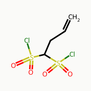 C=CCC(S(=O)(=O)Cl)S(=O)(=O)Cl